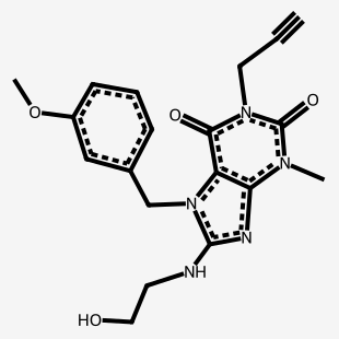 C#CCn1c(=O)c2c(nc(NCCO)n2Cc2cccc(OC)c2)n(C)c1=O